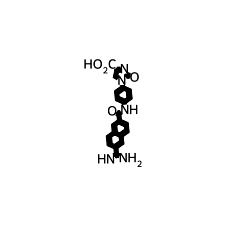 N=C(N)c1ccc2cc(C(=O)Nc3ccc(N4CC(C(=O)O)=NC4=O)cc3)ccc2c1